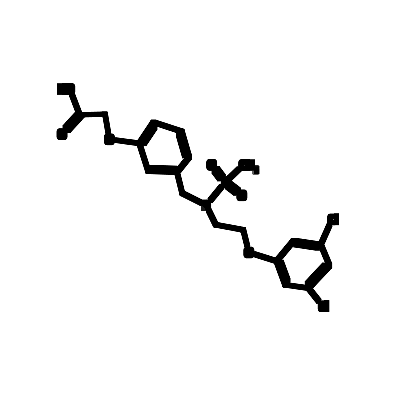 CS(=O)(=O)N(CCOc1cc(Cl)cc(Cl)c1)Cc1cccc(OCC(=O)O)c1